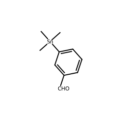 [CH3][Sn]([CH3])([CH3])[c]1cccc(C=O)c1